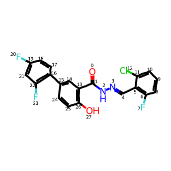 O=C(NN=Cc1c(F)cccc1Cl)c1cc(-c2ccc(F)cc2F)ccc1O